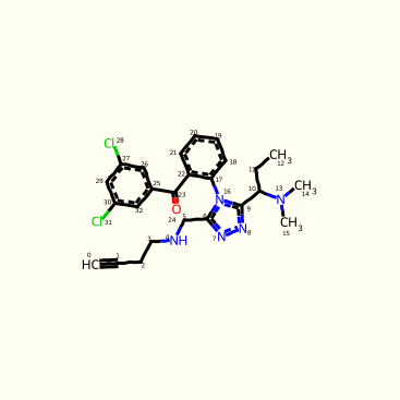 C#CCCNCc1nnc(C(CC)N(C)C)n1-c1ccccc1C(=O)c1cc(Cl)cc(Cl)c1